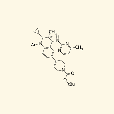 CC(=O)N1c2ccc(C3=CCN(C(=O)OC(C)(C)C)CC3)cc2C(Nc2nccc(C)n2)[C@@H](C)C1C1CC1